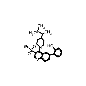 CC(C1CCN(c2c(S(=O)(=O)C(C)C)cnc3ccc(-c4ccccc4O)cc23)CC1)N(C)C